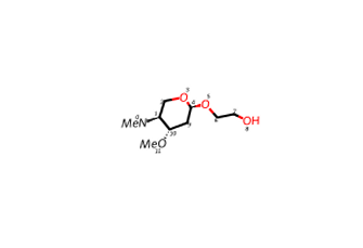 CN[C@H]1CO[C@@H](OCCO)C[C@@H]1OC